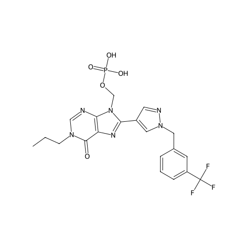 CCCn1cnc2c(nc(-c3cnn(Cc4cccc(C(F)(F)F)c4)c3)n2COP(=O)(O)O)c1=O